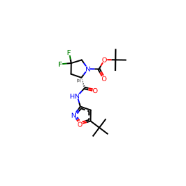 CC(C)(C)OC(=O)N1CC(F)(F)C[C@H]1C(=O)Nc1cc(C(C)(C)C)on1